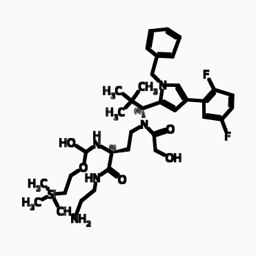 CC(C)(C)[C@H](c1cc(-c2cc(F)ccc2F)cn1Cc1ccccc1)N(CC[C@H](NC(O)OCC[Si](C)(C)C)C(=O)NCCN)C(=O)CO